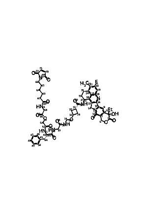 CC[C@@]1(O)C(=O)OCc2c1cc1n(c2=O)Cc2c-1nc1cc(F)c(C)c3c1c2[C@@H](NC(=O)[C@H]1C[C@H](OCNC(=O)CNC(=O)[C@H](Cc2ccccc2)NC(=O)COC(=O)CNC(=O)CCCCCN2C(=O)C=CC2=O)C1)CC3